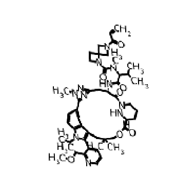 C=CC(=O)N1CC2(CCN2C(=O)N(C)C(C(=O)N[C@H]2Cc3nc(n(C)n3)-c3ccc4c(c3)c(c(-c3cccnc3[C@H](C)OC)n4CC)CC(C)(C)COC(=O)[C@@H]3CCCN(N3)C2=O)C(C)C)C1